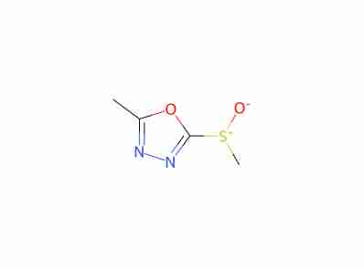 Cc1nnc([S+](C)[O-])o1